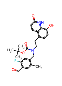 Cc1cc(C=O)c(F)cc1CN(CCc1ccc(O)c2[nH]c(=O)ccc12)C(=O)OC(C)(C)C